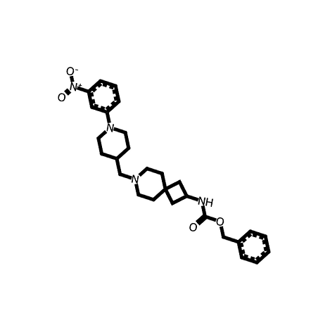 O=C(NC1CC2(CCN(CC3CCN(c4cccc([N+](=O)[O-])c4)CC3)CC2)C1)OCc1ccccc1